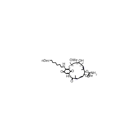 CCCCCCCCCCCCCCCCNC1=C2C[C@@H](C)C[C@H](OC)[C@H](O)[C@@H](C)/C=C(\C)[C@H](OC(N)=O)[C@@H](OC)/C=C\C=C(/C)C(=O)NC(=CC1=O)C2=O